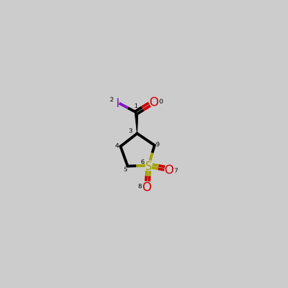 O=C(I)[C@@H]1CCS(=O)(=O)C1